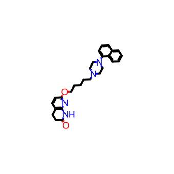 O=C1CCc2ccc(OCCCCCN3CCN(c4cccc5ccccc45)CC3)nc2N1